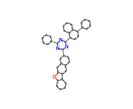 c1ccc(-c2nc(-c3ccc4cc5c(cc4c3)oc3ccccc35)nc(-c3ccc(-c4ccccc4)c4ccccc34)n2)cc1